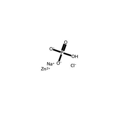 O=P([O-])([O-])O.[Cl-].[Na+].[Zn+2]